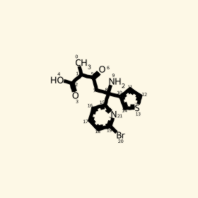 CC(C(=O)O)C(=O)CC(N)(c1ccsc1)c1cccc(Br)n1